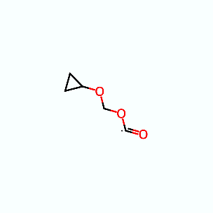 O=[C]OCOC1CC1